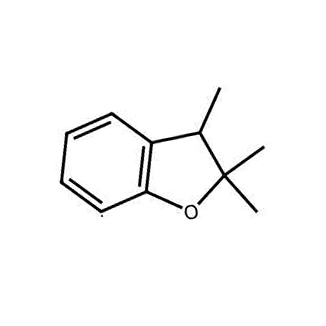 CC1c2ccc[c]c2OC1(C)C